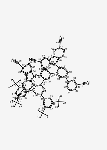 CC(C)(C)c1cc(-c2nc(-c3cc(C(C)(C)C)cc(C(C)(C)C)c3)nc(-c3cc(-c4cc(-c5cccc(C#N)c5)ccc4-n4c5ccc(C#N)cc5c5cc(C#N)ccc54)ccc3-n3c4ccc(C#N)cc4c4cc(C#N)ccc43)n2)cc(C(C)(C)C)c1